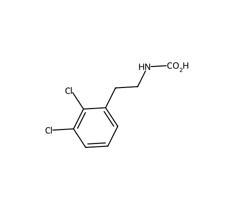 O=C(O)NCCc1cccc(Cl)c1Cl